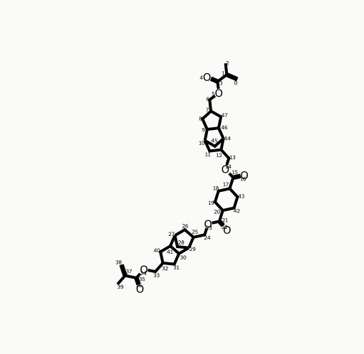 C=C(C)C(=O)OCC1CC2C3CC(COC(=O)C4CCC(C(=O)OCC5CC6CC5C5CC(COC(=O)C(=C)C)CC65)CC4)C(C3)C2C1